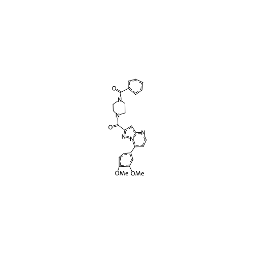 COc1ccc(-c2ccnc3cc(C(=O)N4CCN(C(=O)c5ccccc5)CC4)nn23)cc1OC